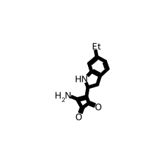 CCc1ccc2c(c1)NC(c1c(N)c(=O)c1=O)C2